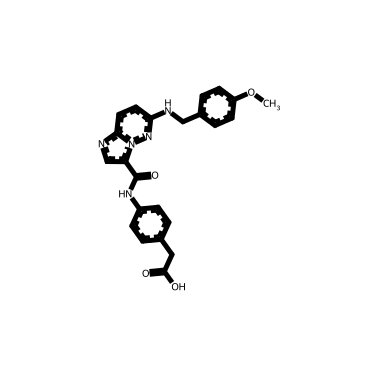 COc1ccc(CNc2ccc3ncc(C(=O)Nc4ccc(CC(=O)O)cc4)n3n2)cc1